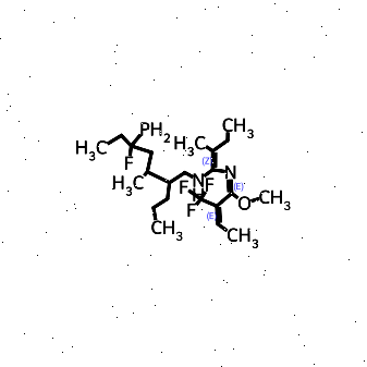 C\C=C(/C(=N\C(NCC(CCC)C(C)CC(F)(P)CC)=C(\C)CC)OC)C(F)(F)F